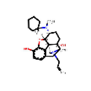 C=CCN1CC[C@]23c4c5ccc(O)c4O[C@H]2[C@H](N(C(=O)O)C2(C)CCCCC2)CC[C@@]3(O)[C@H]1C5